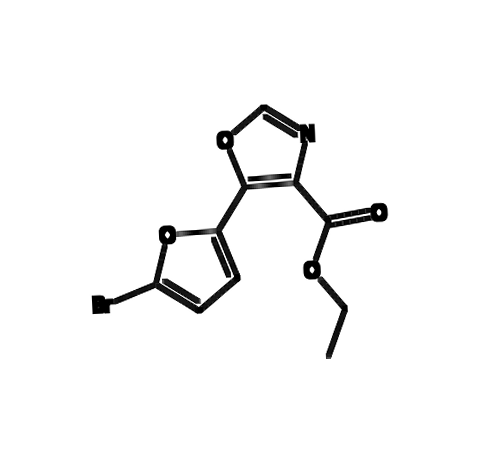 CCOC(=O)c1ncoc1-c1ccc(Br)o1